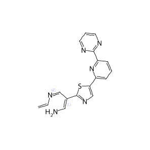 C=C/N=C\C(=C/N)c1ncc(-c2cccc(-c3ncccn3)n2)s1